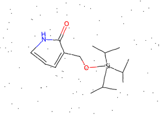 CC(C)[Si](OCc1ccc[nH]c1=O)(C(C)C)C(C)C